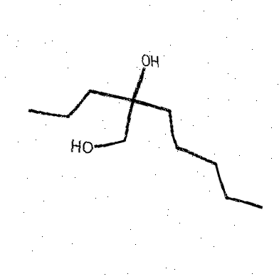 CCCCCC(O)(CO)CCC